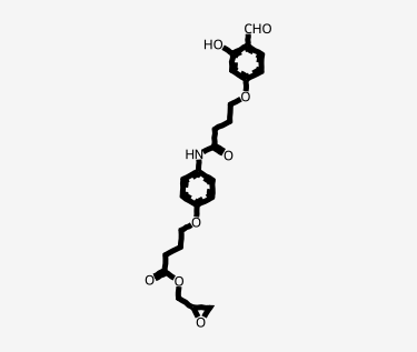 O=Cc1ccc(OCCCC(=O)Nc2ccc(OCCCC(=O)OCC3CO3)cc2)cc1O